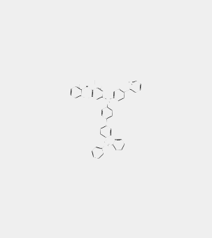 CC1(C)c2ccccc2Oc2cc(N(c3ccc(-c4ccc5c(c4)c4ccccc4n5-c4ccccc4)cc3)c3ccc(-c4ccccn4)cc3)ccc21